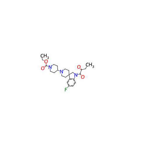 CCOC(=O)N1CCC(N2CCC3(CC2)CN(C(=O)C(=O)CC)c2ccc(F)cc23)CC1